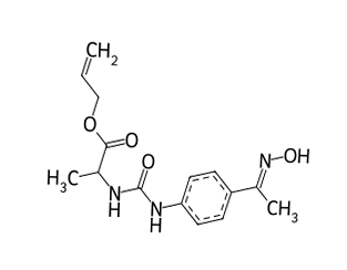 C=CCOC(=O)C(C)NC(=O)Nc1ccc(C(C)=NO)cc1